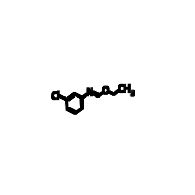 CCOC=Nc1cccc(Cl)c1